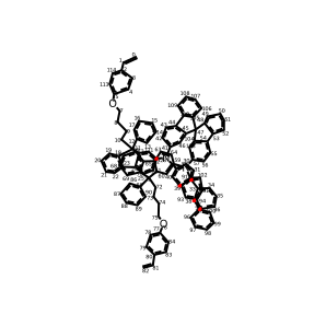 C=Cc1ccc(OCCCCC2(c3ccccc3)c3ccccc3-c3ccc(N(c4ccc(-c5ccccc5)cc4)c4ccc5c(c4)C4(c6ccccc6-c6ccc(N(C7=CC8C(C=C7)c7ccccc7C8(CCCCOc7ccc(C=C)cc7)c7ccccc7)c7ccc(-c8ccccc8)cc7)cc64)c4ccccc4-5)cc32)cc1